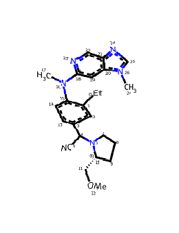 CCc1cc(C(C#N)N2CCC[C@@H]2COC)ccc1N(C)c1cc2c(cn1)ncn2C